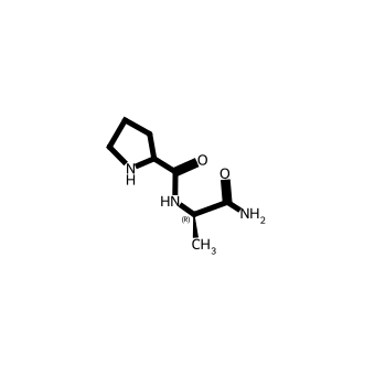 C[C@@H](NC(=O)C1CCCN1)C(N)=O